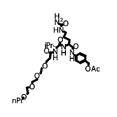 CCCOCCOCCOCCOCCC(=O)N[C@@H](C(=O)NC(CCCNC(N)=O)C(=O)Nc1ccc(COC(C)=O)cc1)C(C)C